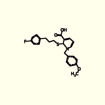 COc1ccc(CN2C=CC=C(C(=O)O)C2SCCCc2ccc(F)cc2)cc1